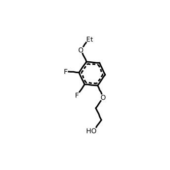 CCOc1ccc(OCCO)c(F)c1F